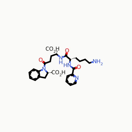 NCCCC[C@H](NC(=O)c1ccccn1)C(=O)N[C@H](CCC(=O)N1c2ccccc2C[C@H]1C(=O)O)C(=O)O